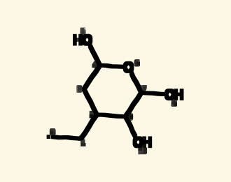 [CH2]CC1CC(O)OC(O)C1O